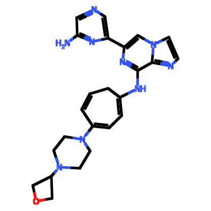 Nc1cncc(-c2cn3ccnc3c(NC3=CC=C(N4CCN(C5COC5)CC4)C=CC3)n2)n1